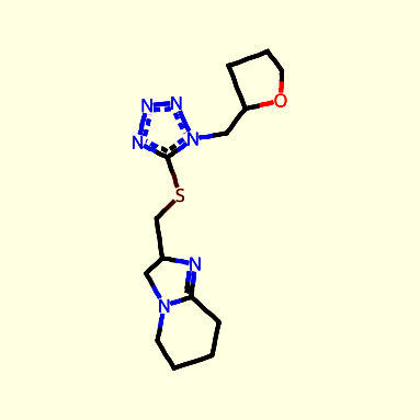 C1CCN2CC(CSc3nnnn3CC3CCCO3)N=C2C1